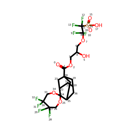 O=C(OCC(O)COC(F)(F)C(F)(F)S(=O)(=O)O)C12CC3CC(C1)C1(OCC(F)(F)C(F)(F)CO1)C(C3)C2